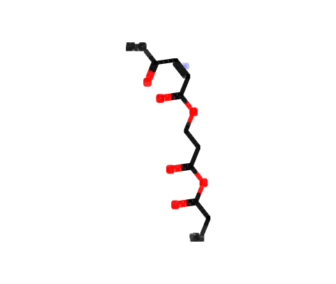 COC(=O)/C=C\C(=O)OCCC(=O)OC(=O)CC(C)(C)C